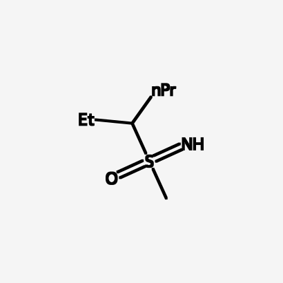 CCCC(CC)S(C)(=N)=O